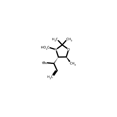 C=CC([C@H]1[C@H](C)OC(C)(C)N1C(=O)O)C(C)(C)C